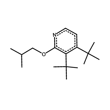 CC(C)COc1nccc(C(C)(C)C)c1C(C)(C)C